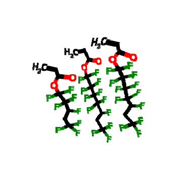 C=CC(=O)OC(F)(F)C(F)(F)C(F)(F)C(F)(F)C(F)CC(F)(F)F.C=CC(=O)OC(F)(F)C(F)(F)C(F)(F)C(F)(F)C(F)CC(F)(F)F.C=CC(=O)OC(F)(F)C(F)(F)C(F)CC(F)(F)F